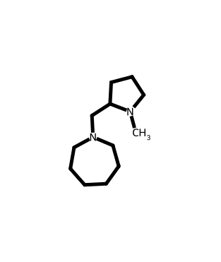 CN1CCCC1CN1CCCCCC1